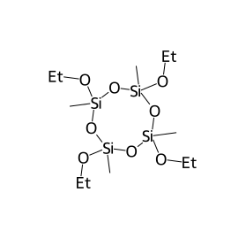 CCO[Si]1(C)O[Si](C)(OCC)O[Si](C)(OCC)O[Si](C)(OCC)O1